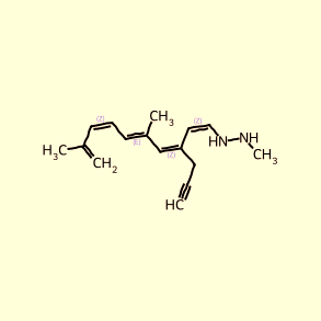 C#CCC(/C=C\NNC)=C/C(C)=C/C=C\C(=C)C